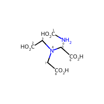 NC(=O)O.O=C(O)CN(CC(=O)O)CC(=O)O